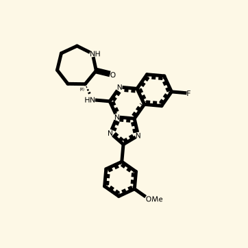 COc1cccc(-c2nc3c4cc(F)ccc4nc(N[C@@H]4CCCCNC4=O)n3n2)c1